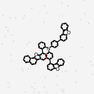 c1ccc(N(c2ccc(-c3ccc4oc5ccccc5c4c3)cc2)c2ccc(-c3cccc4oc5ccccc5c34)cc2)c(-c2cccc3c2oc2c4ccccc4ccc32)c1